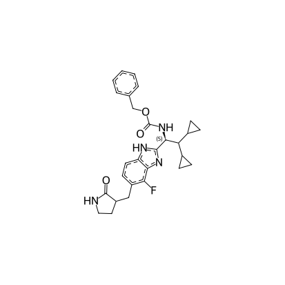 O=C(N[C@H](c1nc2c(F)c(CC3CCNC3=O)ccc2[nH]1)C(C1CC1)C1CC1)OCc1ccccc1